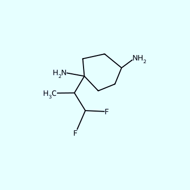 CC(C(F)F)C1(N)CCC(N)CC1